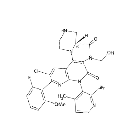 COc1cccc(F)c1-c1nc2c(cc1Cl)c1c(c(=O)n2-c2c(C)ccnc2C(C)C)N(CO)C(=O)[C@H]2CNCCN12